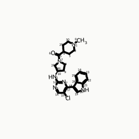 CN1CCC(C(=O)N2CC[C@@H](Nc3ncc(Cl)c(-c4c[nH]c5ccccc45)n3)C2)CC1